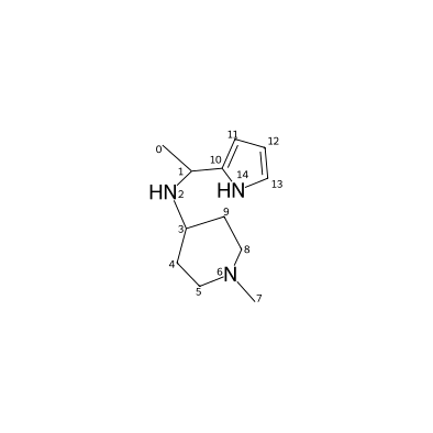 CC(NC1CCN(C)CC1)c1ccc[nH]1